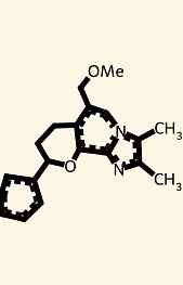 COCc1cn2c(C)c(C)nc2c2c1CCC(c1ccccc1)O2